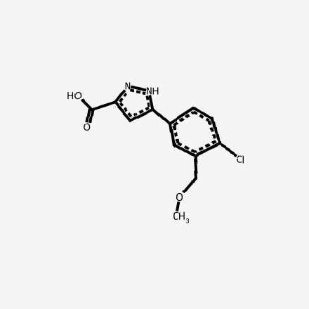 COCc1cc(-c2cc(C(=O)O)n[nH]2)ccc1Cl